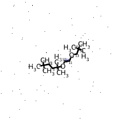 CC(C)(C)CCC(C)(C)O/C=C/OCC(C)(C)C